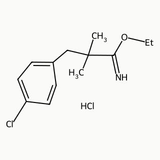 CCOC(=N)C(C)(C)Cc1ccc(Cl)cc1.Cl